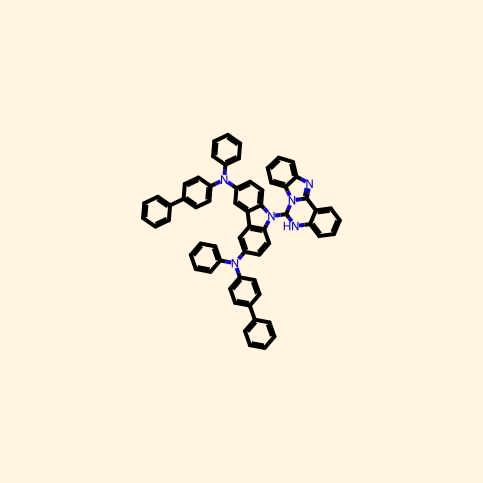 c1ccc(-c2ccc(N(c3ccccc3)c3ccc4c(c3)c3cc(N(c5ccccc5)c5ccc(-c6ccccc6)cc5)ccc3n4C3Nc4ccccc4-c4nc5ccccc5n43)cc2)cc1